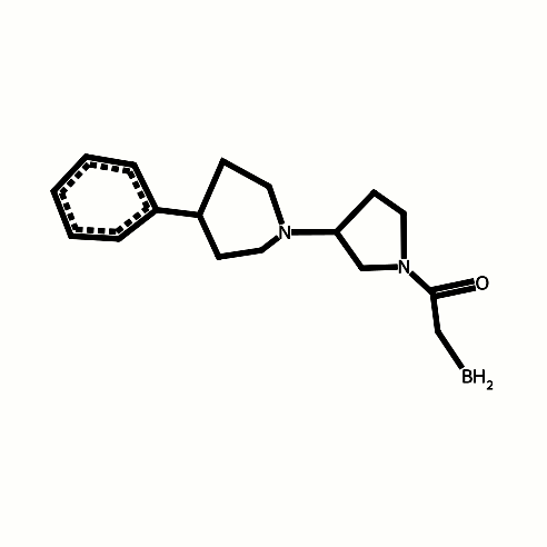 BCC(=O)N1CCC(N2CCC(c3ccccc3)CC2)C1